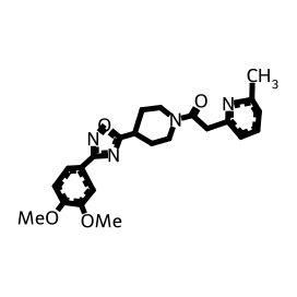 COc1ccc(-c2noc(C3CCN(C(=O)Cc4cccc(C)n4)CC3)n2)cc1OC